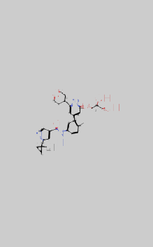 Cc1ccc(NC(=O)c2ccnc(C3(C(F)(F)F)CC3)c2)cc1-c1cc(OCC(O)CO)nc(C2CCOCC2)c1